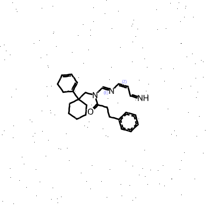 N=C/C=C\N=C\N(CC1(C2=CC=CCC2)CCCCC1)C(=O)CCc1ccccc1